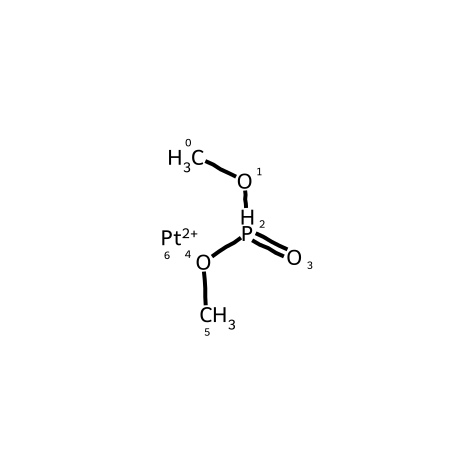 CO[PH](=O)OC.[Pt+2]